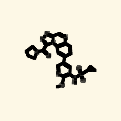 COc1ncc(-c2ccc3ncc4nnc(C(=O)N5CCCC5)n4c3c2)cc1NS(=O)(=O)C1CC1